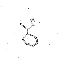 NNC(=O)c1[c]cccc1